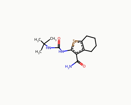 CC(C)(C)NC(=O)Nc1sc2c(c1C(N)=O)CCCC2